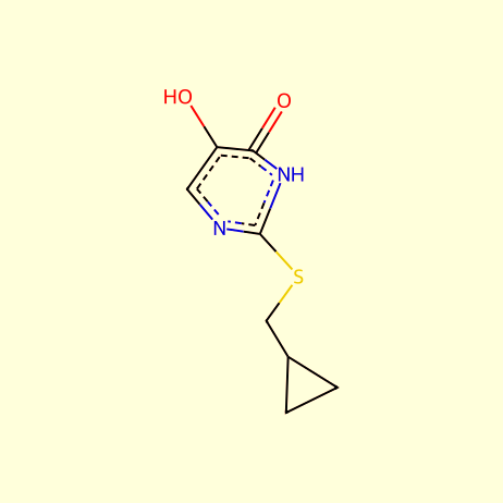 O=c1[nH]c(SCC2CC2)ncc1O